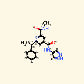 CNC(=O)c1cc(C(=O)Nc2cn[nH]c2)cc([C@H](C)c2ccccc2)n1